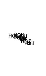 O=P(O)(O)OC[C@H]1O[C@@H](n2cnc3c(NCc4c(F)ccc(Cl)c4F)ncnc32)[C@H](O)[C@@H]1O